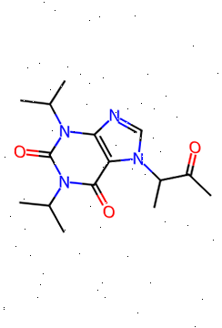 CC(=O)C(C)n1cnc2c1c(=O)n(C(C)C)c(=O)n2C(C)C